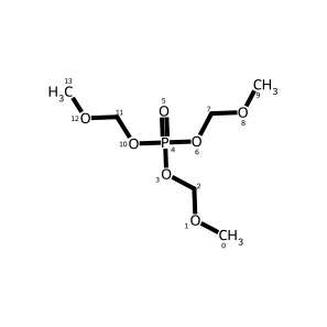 COCOP(=O)(OCOC)OCOC